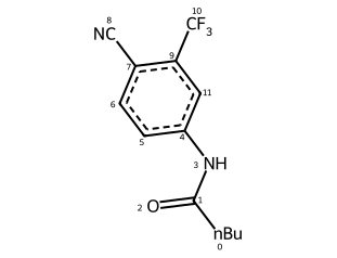 CCCCC(=O)Nc1ccc(C#N)c(C(F)(F)F)c1